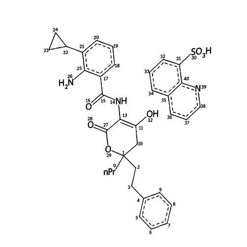 CCCC1(CCc2ccccc2)CC(O)=C(NC(=O)c2cccc(C3CC3)c2N)C(=O)O1.O=S(=O)(O)c1cccc2cccnc12